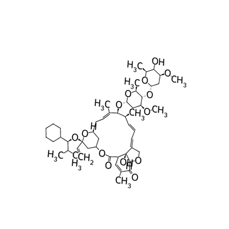 C=C[C@@]1(O[C@@H](C(C)C)C2CCCCC2)CC2C[C@@H](C/C=C(\C)[C@@H](O[C@H]3C[C@H](OC)[C@@H](O[C@H]4C[C@H](OC)C(O)[C@H](C)O4)[C@H](C)O3)[C@@H](C)/C=C/C=C3\CO[C@@H]4C(=O)C(C)=CC(C(=O)O2)[C@]34O)O1